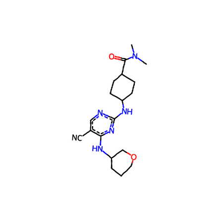 CN(C)C(=O)C1CCC(Nc2ncc(C#N)c(NC3CCCOC3)n2)CC1